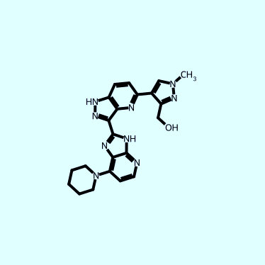 Cn1cc(-c2ccc3[nH]nc(-c4nc5c(N6CCCCC6)ccnc5[nH]4)c3n2)c(CO)n1